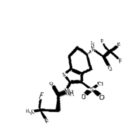 CC(F)(F)CC(=O)Nc1sc2c(c1S(=O)(=O)Cl)C[C@@H](NC(=O)C(F)(F)F)CC2